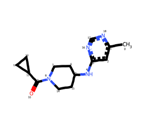 Cc1cc(NC2CCN(C(=O)C3CC3)CC2)ncn1